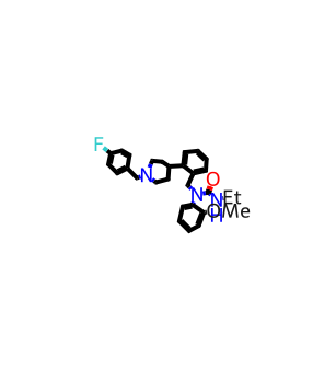 CCNC(=O)N(Cc1ccccc1C1CCN(Cc2ccc(F)cc2)CC1)c1ccccc1OC